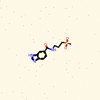 CS(=O)(=O)CCCNC(=O)c1ccc2nc[nH]c2c1